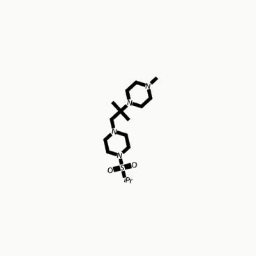 CC(C)S(=O)(=O)N1CCN(CC(C)(C)N2CCN(C)CC2)CC1